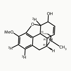 [2H]c1c([2H])c(OC)c2c3c1C[C@@H]1[C@@H]4C=CC(O)C([2H])(O2)[C@]34CCN1C